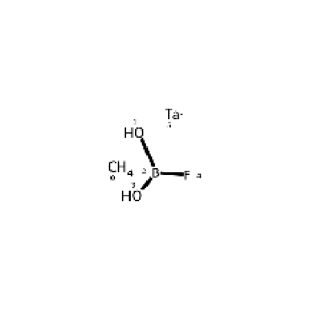 C.OB(O)F.[Ta]